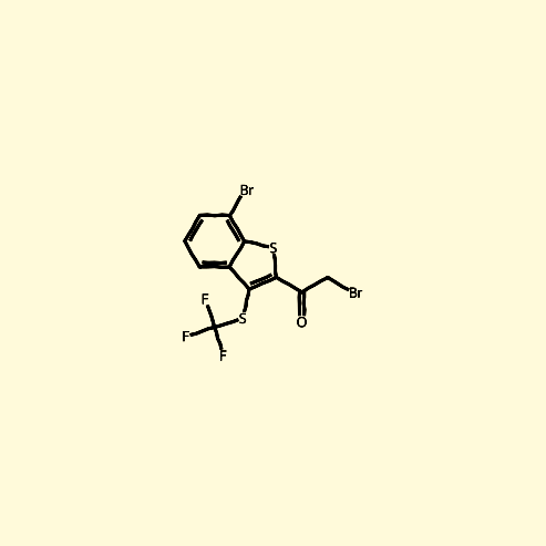 O=C(CBr)c1sc2c(Br)cccc2c1SC(F)(F)F